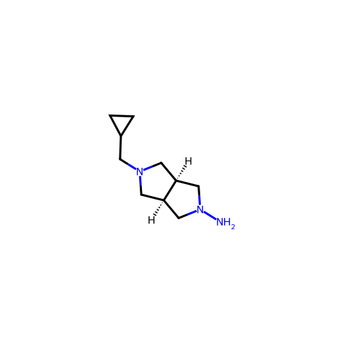 NN1C[C@@H]2CN(CC3CC3)C[C@@H]2C1